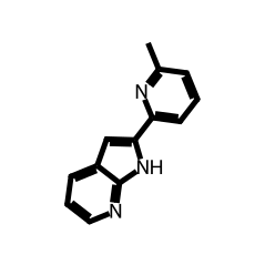 Cc1cccc(-c2cc3cccnc3[nH]2)n1